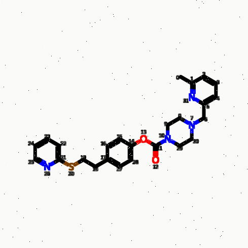 Cc1cccc(CN2CCN(C(=O)Oc3ccc(CCSc4ccccn4)cc3)CC2)n1